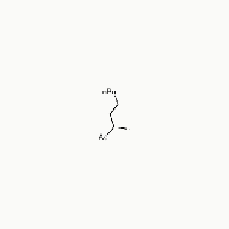 [CH2]C(CCCCCC)C(C)=O